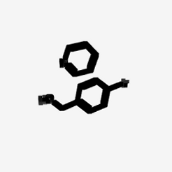 OCc1cc[c]([Ir])cc1.c1ccncc1